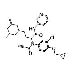 C#CC(=O)N(c1ccc(OCC2CC2)c(Cl)c1)C(CCC1CC(=C)CC(C)C1)C(=O)Nc1cccnc1